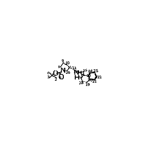 CC(C)(C)OC(=O)N1CCCC(CNC2CC23CCCc2ccccc23)C1